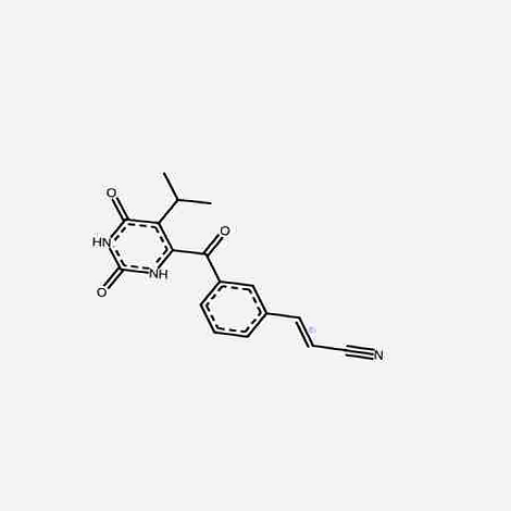 CC(C)c1c(C(=O)c2cccc(/C=C/C#N)c2)[nH]c(=O)[nH]c1=O